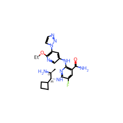 CCOc1ncc(Nc2nc(N[C@H](C3CCC3)[C@H](C)N)c(F)cc2C(N)=O)cc1-n1ccnn1